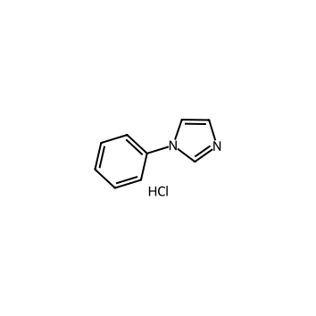 Cl.c1ccc(-n2ccnc2)cc1